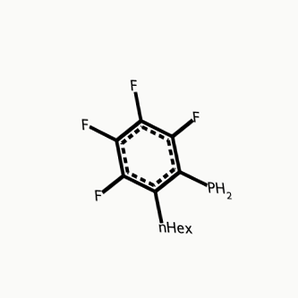 CCCCCCc1c(F)c(F)c(F)c(F)c1P